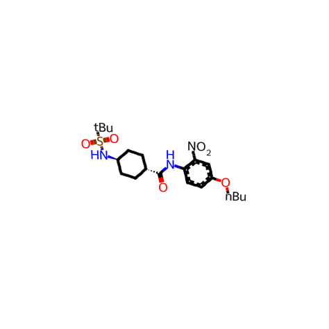 CCCCOc1ccc(NC(=O)[C@H]2CC[C@H](NS(=O)(=O)C(C)(C)C)CC2)c([N+](=O)[O-])c1